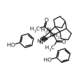 CC(=O)C(N)(C#N)C12CCC(C1)C1CCCC12C(N)(C#N)C(C)=O.Oc1ccccc1.Oc1ccccc1